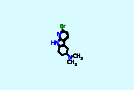 CN(C)C1CCc2[nH]c3nc(Br)ccc3c2C1